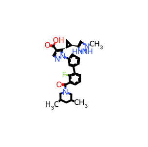 CC1CC(C)CN(C(=O)c2cccc(-c3cccc(-n4ncc(C(=O)O)c4[C@@H]4C[C@H]4C4=CN(C)NN4)c3)c2F)C1